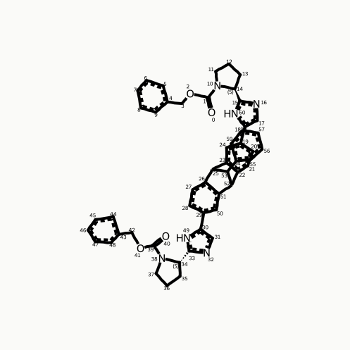 O=C(OCc1ccccc1)N1CCC[C@H]1c1ncc(-c2ccc3c(c2)C2c4ccc(-c5cnc([C@@H]6CCCN6C(=O)OCc6ccccc6)[nH]5)cc4C3C2c2ccccc2)[nH]1